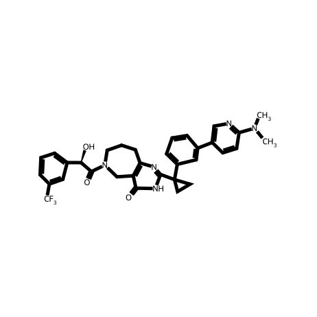 CN(C)c1ccc(-c2cccc(C3(c4nc5c(c(=O)[nH]4)CN(C(=O)[C@H](O)c4cccc(C(F)(F)F)c4)CCC5)CC3)c2)cn1